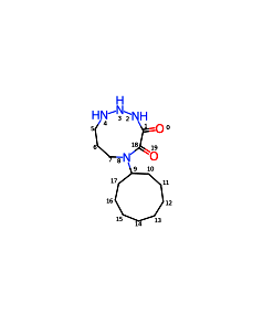 O=C1NNNCCCN(C2CCCCCCCC2)C1=O